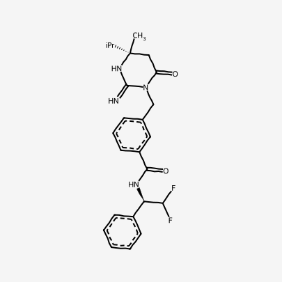 CC(C)[C@]1(C)CC(=O)N(Cc2cccc(C(=O)N[C@H](c3ccccc3)C(F)F)c2)C(=N)N1